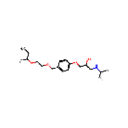 CCC(C)OCCOCc1ccc(OCC(O)CNC(C)C)cc1